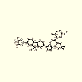 COC(=O)N[C@H](C(=O)N1CC2(CC2)C[C@H]1c1ncc(-c2ccc3c(c2)C(F)(F)c2cc(B4OC(C)(C)C(C)(C)O4)ccc2-3)[nH]1)C(C)C